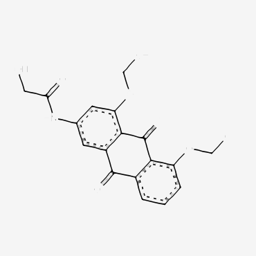 CCOc1cccc2c1C(=O)c1c(OCC)cc(NC(=O)CO)cc1C2=O